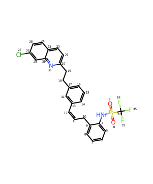 O=S(=O)(Nc1ccccc1C/C=C\c1cccc(CCc2ccc3ccc(Cl)cc3n2)c1)C(F)(F)F